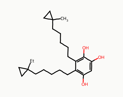 CCC1(CCCCCc2c(O)cc(O)c(O)c2CCCCCC2(C)CC2)CC1